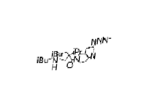 CCC(C)C(N[C@@H]1CC[C@@](C(=O)N2CCc3ncc(N=[N+]=[N-])cc3C2)(C(C)C)C1)C(C)CC